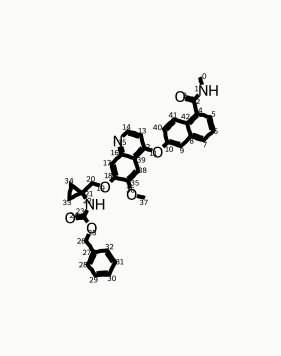 CNC(=O)c1cccc2cc(Oc3ccnc4cc(OCC5(NC(=O)OCc6ccccc6)CC5)c(OC)cc34)ccc12